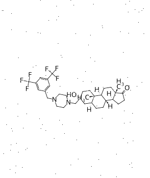 C[C@]12CC[C@](O)(CN3CCN(Cc4cc(C(F)(F)F)cc(C(F)(F)F)c4)CC3)C[C@@H]1CC[C@@H]1[C@@H]2CC[C@]2(C)C(=O)CC[C@@H]12